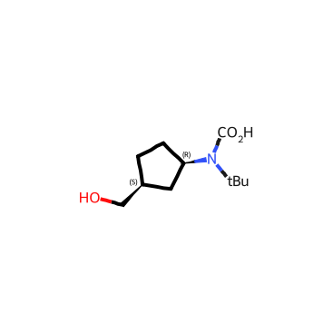 CC(C)(C)N(C(=O)O)[C@@H]1CC[C@H](CO)C1